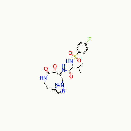 CC(C)C(NS(=O)(=O)c1ccc(F)cc1)C(=O)NC1Cn2ncc(n2)CCNC(=O)C1=O